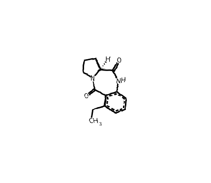 CCc1cccc2c1C(=O)N1CCC[C@H]1C(=O)N2